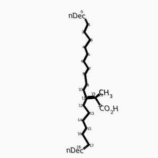 CCCCCCCCCCCCCCCCCCCCC(CCCCCCCCCCCCCCCC)=C(C)C(=O)O